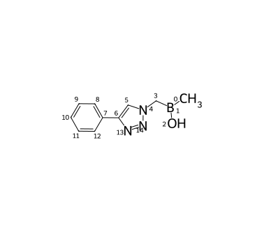 CB(O)Cn1cc(-c2ccccc2)nn1